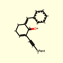 CCCCCC#CC1=CCCC(=Cc2ccccc2)C1=O